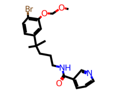 COCOc1cc(C(C)(C)CCCNC(=O)c2cccnc2)ccc1Br